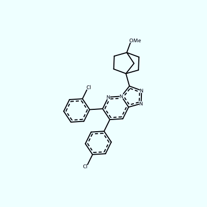 COC12CCC(c3nnc4cc(-c5ccc(Cl)cc5)c(-c5ccccc5Cl)nn34)(CC1)C2